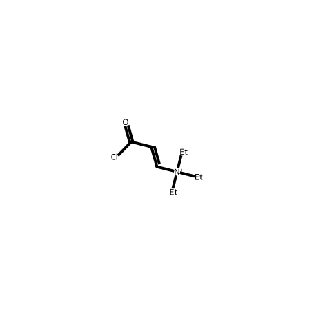 CC[N+](C=CC(=O)Cl)(CC)CC